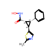 Cc1ncc([C@H]2[C@H](C(=O)NO)[C@@H]2C2C=CC=CC2)s1